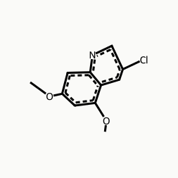 COc1cc(OC)c2cc(Cl)cnc2c1